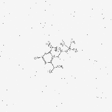 CC(C)c1cc(Cl)cc(C(C)C)c1CC(=O)OC(C)(C)C